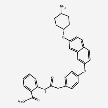 COC(=O)c1ccccc1NC(=O)Cc1ccc(Oc2ccc3ccc(O[C@H]4CC[C@@H](N)CC4)cc3c2)cc1